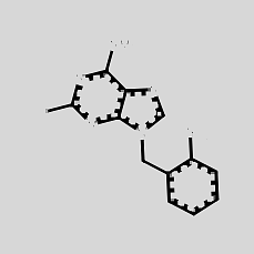 CNc1nc(Cl)nc2c1ncn2Cc1ccccc1N